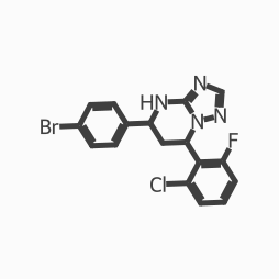 Fc1cccc(Cl)c1C1CC(c2ccc(Br)cc2)Nc2ncnn21